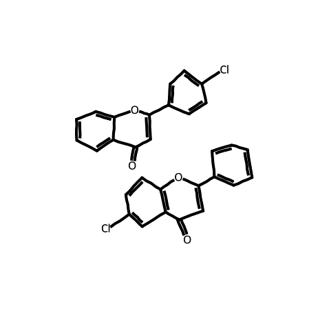 O=c1cc(-c2ccc(Cl)cc2)oc2ccccc12.O=c1cc(-c2ccccc2)oc2ccc(Cl)cc12